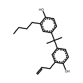 C=CCc1cc(C(C)(C)c2ccc(O)c(CCCC)c2)ccc1O